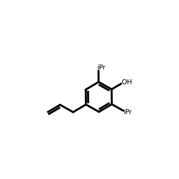 C=CCc1cc(C(C)C)c(O)c(C(C)C)c1